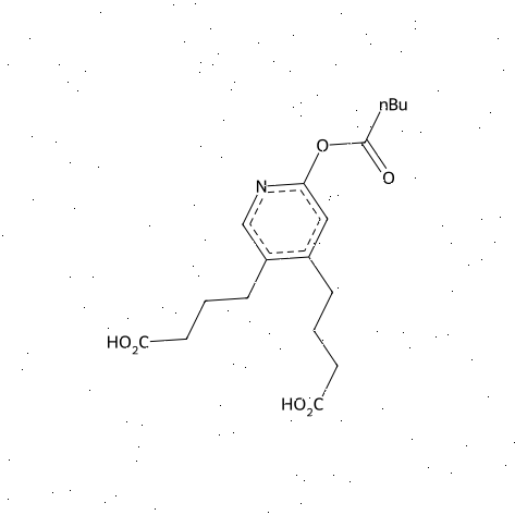 CCCCC(=O)Oc1cc(CCCC(=O)O)c(CCCC(=O)O)cn1